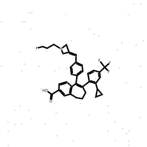 O=C(O)c1ccc2c(c1)CCCC(c1ccc(C(F)(F)F)cc1C1CC1)=C2c1ccc(C=C2CN(CCCF)C2)cc1